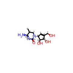 CC1CN([C@@H]2C=C(CO)[C@H](O)C2O)C(=O)N=C1N